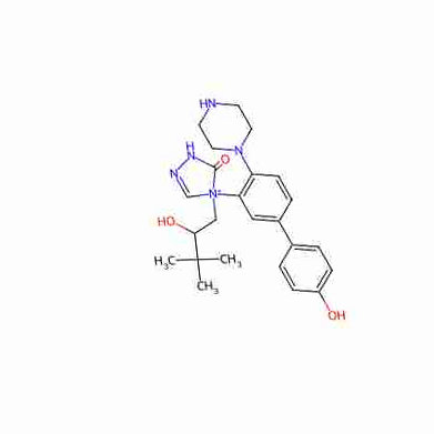 CC(C)(C)C(O)C[N+]1(c2cc(-c3ccc(O)cc3)ccc2N2CCNCC2)C=NNC1=O